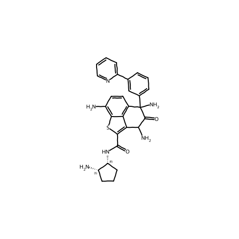 Nc1ccc2c3c(c(C(=O)N[C@@H]4CCC[C@@H]4N)sc13)C(N)C(=O)C2(N)c1cccc(-c2ccccn2)c1